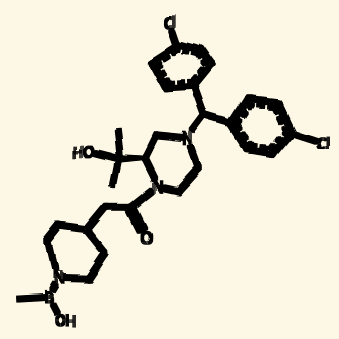 CB(O)N1CCC(CC(=O)N2CCN(C(c3ccc(Cl)cc3)c3ccc(Cl)cc3)C[C@@H]2C(C)(C)O)CC1